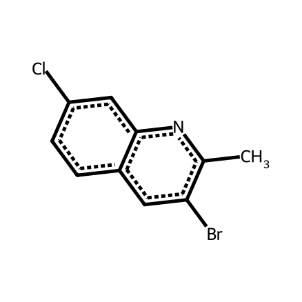 Cc1nc2cc(Cl)ccc2cc1Br